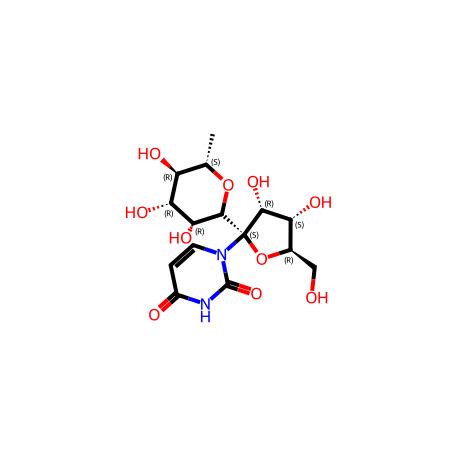 C[C@@H]1OC([C@@]2(n3ccc(=O)[nH]c3=O)O[C@H](CO)[C@@H](O)[C@H]2O)[C@H](O)[C@H](O)[C@H]1O